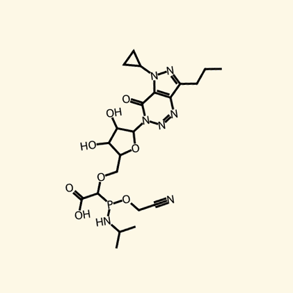 CCCc1nn(C2CC2)c2c(=O)n(C3OC(COC(C(=O)O)P(NC(C)C)OCC#N)C(O)C3O)nnc12